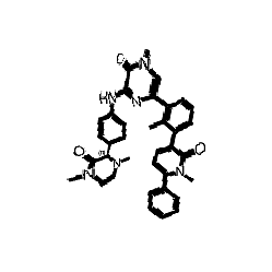 Cc1c(-c2cn(C)c(=O)c(Nc3ccc([C@@H]4C(=O)N(C)CCN4C)cc3)n2)cccc1-c1ccc(-c2ccccc2)n(C)c1=O